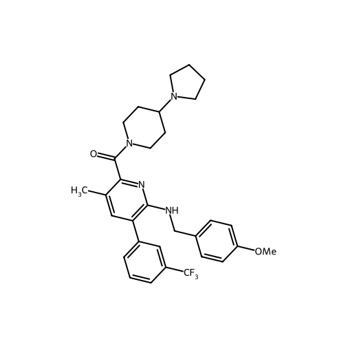 COc1ccc(CNc2nc(C(=O)N3CCC(N4CCCC4)CC3)c(C)cc2-c2cccc(C(F)(F)F)c2)cc1